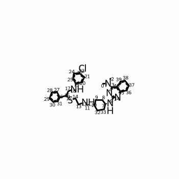 CN(C)c1nc(N[C@H]2CC[C@@H](CNCCSC(CNc3ccc(Cl)cc3)c3ccccc3)CC2)nc2ccccc12